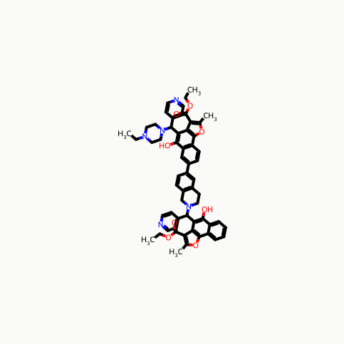 CCOC(=O)c1c(C)oc2c1c(C(c1ccncc1)N1CCN(CC)CC1)c(O)c1cc(-c3ccc4c(c3)CCN(C(c3ccncc3)c3c(O)c5ccccc5c5oc(C)c(C(=O)OCC)c35)C4)ccc12